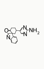 Nc1ncc(C2CCC(=O)C3(C=Nc4ccccc43)C2)cn1